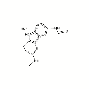 Br.CNC1CCc2[nH]c3ccc(NC=O)cc3c2C1